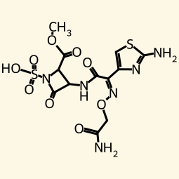 COC(=O)C1C(NC(=O)C(=NOCC(N)=O)c2csc(N)n2)C(=O)N1S(=O)(=O)O